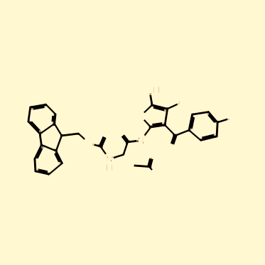 Cc1sc(NC(=O)[C@H](CC(=O)O)NC(=O)OCC2c3ccccc3-c3ccccc32)c(C(=O)c2ccc(Cl)cc2)c1C